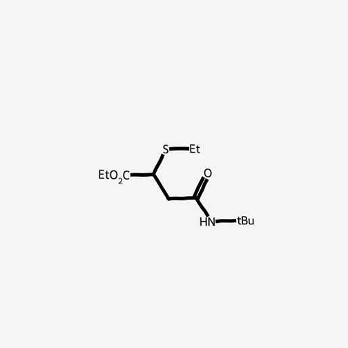 CCOC(=O)C(CC(=O)NC(C)(C)C)SCC